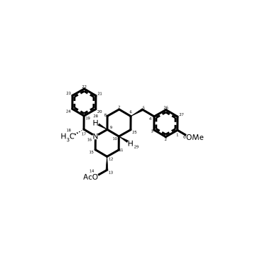 COc1ccc(C[C@@H]2CC[C@@H]3[C@@H](C[C@@H](COC(C)=O)CN3[C@H](C)c3ccccc3)C2)cc1